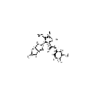 Cc1c(C#N)c(C2CC3CC(O)CC3C2)c(C(=O)Nc2ccc(F)c(Cl)c2)n1C